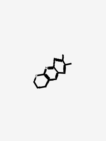 Cc1cc2cc3c(nc2cc1C)OCCC3